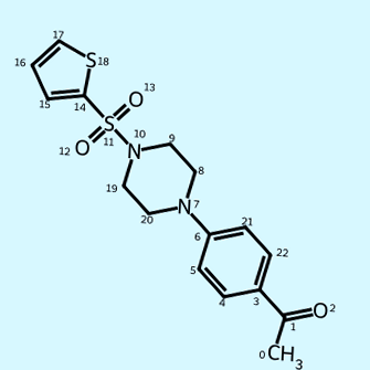 CC(=O)c1ccc(N2CCN(S(=O)(=O)c3cccs3)CC2)cc1